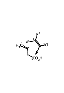 C=CCC(=O)O.FC(F)=C(F)Cl